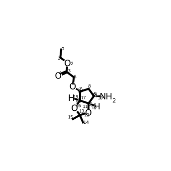 CCOC(=O)CO[C@H]1C[C@@H](N)[C@@H]2OC(C)(C)O[C@@H]21